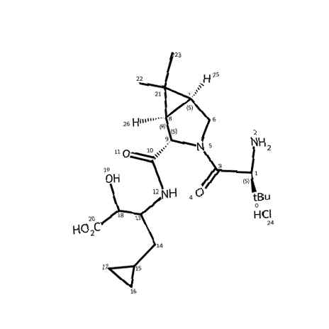 CC(C)(C)[C@H](N)C(=O)N1C[C@H]2[C@@H]([C@H]1C(=O)NC(CC1CC1)C(O)C(=O)O)C2(C)C.Cl